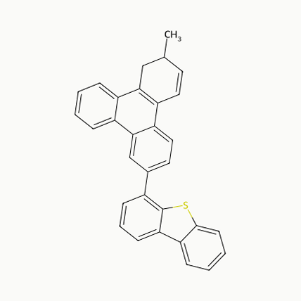 CC1C=Cc2c(c3ccccc3c3cc(-c4cccc5c4sc4ccccc45)ccc23)C1